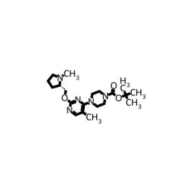 Cc1cnc(OC[C@@H]2CCCN2C)nc1N1CCN(C(=O)OC(C)(C)C)CC1